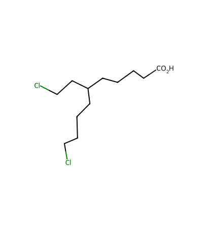 O=C(O)CCCCC(CCCl)CCCCCl